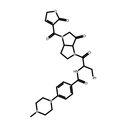 CC(C)CC(NC(=O)c1ccc(N2CCN(C)CC2)cc1)C(=O)N1CCC2C1C(=O)CN2C(=O)C1=CCOC1=O